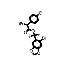 CC(C)C(C(=O)OC(F)(F)c1cc2c(cc1Br)OCO2)c1ccc(Cl)cc1